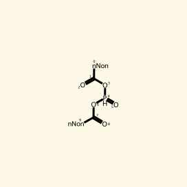 CCCCCCCCCC(=O)O[PH](=O)OC(=O)CCCCCCCCC